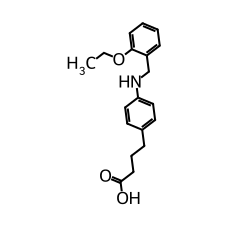 CCOc1ccccc1CNc1ccc(CCCC(=O)O)cc1